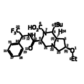 CCO[C@@H]1C[C@@H]2C(C(C)(C)C)N(C(=O)O)[C@H](C(=O)NC(c3ccccc3)C(F)(F)F)CN2C1